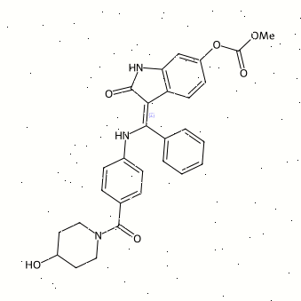 COC(=O)Oc1ccc2c(c1)NC(=O)/C2=C(\Nc1ccc(C(=O)N2CCC(O)CC2)cc1)c1ccccc1